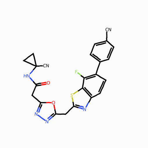 N#Cc1ccc(-c2ccc3nc(Cc4nnc(CC(=O)NC5(C#N)CC5)o4)sc3c2F)cc1